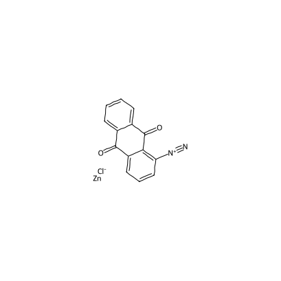 N#[N+]c1cccc2c1C(=O)c1ccccc1C2=O.[Cl-].[Zn]